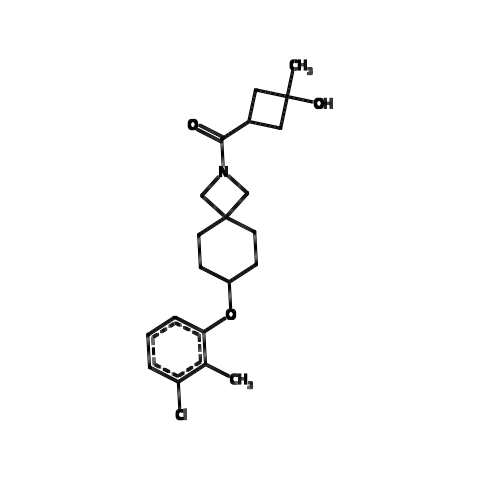 Cc1c(Cl)cccc1OC1CCC2(CC1)CN(C(=O)C1CC(C)(O)C1)C2